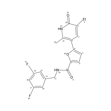 CCc1cc(-c2ccc(C(=O)NCc3cc(F)cc(F)c3)o2)c(C)[nH]c1=O